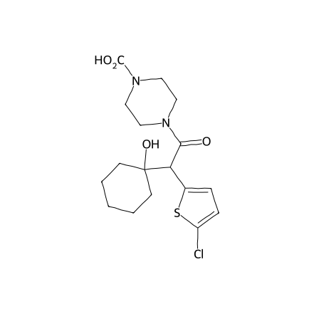 O=C(O)N1CCN(C(=O)C(c2ccc(Cl)s2)C2(O)CCCCC2)CC1